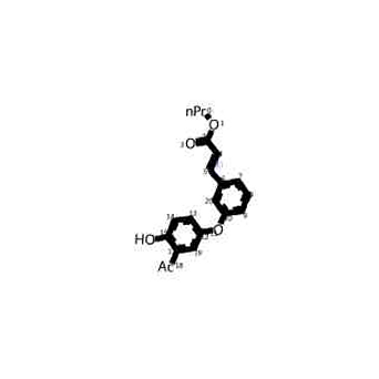 CCCOC(=O)/C=C/c1cccc(Oc2ccc(O)c(C(C)=O)c2)c1